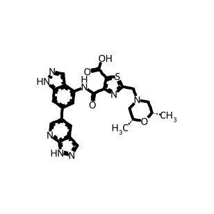 C[C@@H]1CN(Cc2nc(C(=O)Nc3cc(-c4cnc5[nH]ncc5c4)cc4[nH]ncc34)c(C(=O)O)s2)C[C@H](C)O1